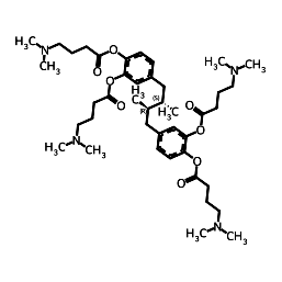 C[C@H](Cc1ccc(OC(=O)CCCN(C)C)c(OC(=O)CCCN(C)C)c1)[C@@H](C)Cc1ccc(OC(=O)CCCN(C)C)c(OC(=O)CCCN(C)C)c1